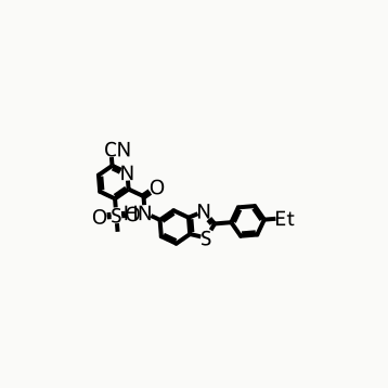 CCc1ccc(-c2nc3cc(NC(=O)c4nc(C#N)ccc4S(C)(=O)=O)ccc3s2)cc1